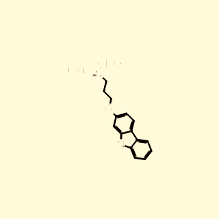 CC(C)(C)ON(C=O)CCCOc1ccc2c(c1)[nH]c1ccccc12